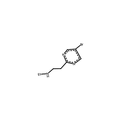 CCNCCc1ncc(Br)cn1